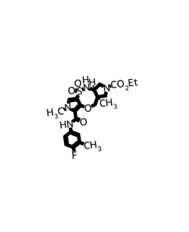 CCOC(=O)N1C[C@@H]2NS(=O)(=O)c3cn(C)c(C(=O)Nc4ccc(F)c(C)c4)c3OC[C@]2(C)C1